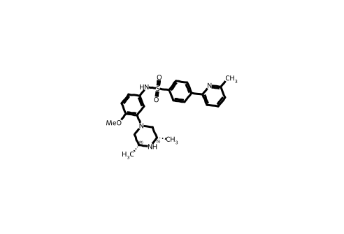 COc1ccc(NS(=O)(=O)c2ccc(-c3cccc(C)n3)cc2)cc1N1C[C@@H](C)N[C@@H](C)C1